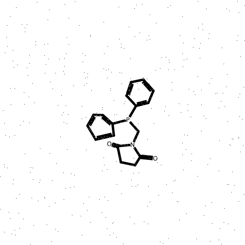 O=C1CCC(=O)N1CP(c1ccccc1)c1ccccc1